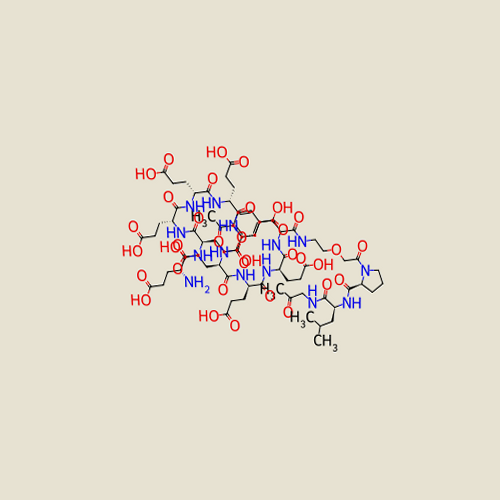 CC(=O)CNC(=O)[C@H](CC(C)C)NC(=O)[C@@H]1CCCN1C(=O)COCCNC(=O)[C@H](Cc1ccc(C(C)=O)cc1)NC(=O)[C@@H](CCC(=O)O)NC(=O)[C@@H](CCC(=O)O)NC(=O)[C@@H](CCC(=O)O)NC(=O)[C@@H](CCC(=O)O)NC(=O)[C@@H](CCC(=O)O)NC(=O)[C@@H](CCC(=O)O)NC(=O)[C@@H](CCC(=O)O)NC(=O)[C@@H](CCC(=O)O)NC(=O)[C@H](N)CCC(=O)O